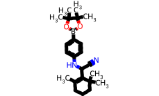 CC1=C(C(C#N)Nc2ccc(B3OC(C)(C)C(C)(C)O3)cc2)C(C)(C)CCC1